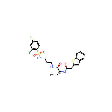 CC(C)C[C@H](NC(=O)Cc1cc2ccccc2s1)C(=O)NCCCNS(=O)(=O)c1ccc(F)cc1Cl